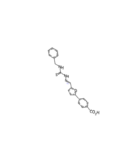 O=C(O)c1ccc(-c2ccc(/C=N/NC(=S)NCc3ccccc3)o2)cc1